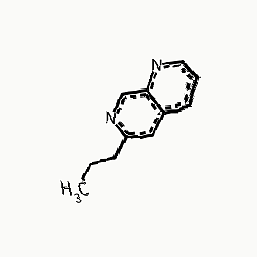 CCCc1cc2cccnc2cn1